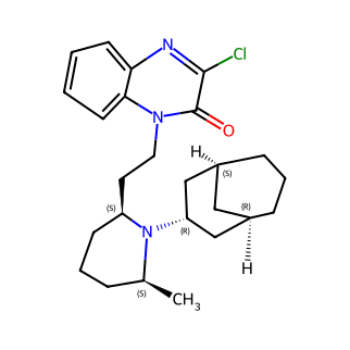 C[C@H]1CCC[C@@H](CCn2c(=O)c(Cl)nc3ccccc32)N1[C@H]1C[C@@H]2CCC[C@@H](C2)C1